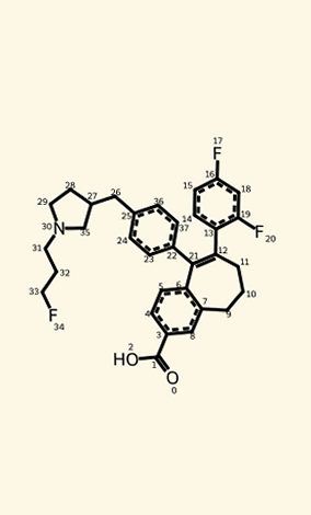 O=C(O)c1ccc2c(c1)CCCC(c1ccc(F)cc1F)=C2c1ccc(CC2CCN(CCCF)C2)cc1